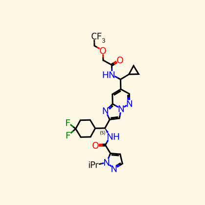 CC(C)n1nccc1C(=O)N[C@H](c1cn2ncc(C(NC(=O)COCC(F)(F)F)C3CC3)cc2n1)C1CCC(F)(F)CC1